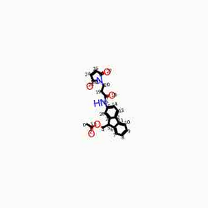 CC(=O)OCC1c2ccccc2-c2ccc(NC(=O)CCN3C(=O)C=CC3=O)cc21